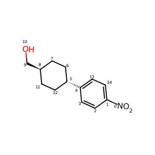 O=[N+]([O-])c1ccc([C@H]2CC[C@H](CO)CC2)cc1